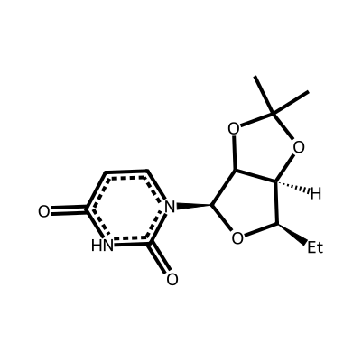 CC[C@H]1O[C@@H](n2ccc(=O)[nH]c2=O)C2OC(C)(C)O[C@H]21